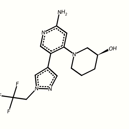 Nc1cc(N2CCC[C@H](O)C2)c(-c2cnn(CC(F)(F)F)c2)cn1